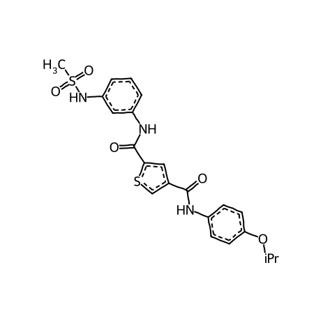 CC(C)Oc1ccc(NC(=O)c2csc(C(=O)Nc3cccc(NS(C)(=O)=O)c3)c2)cc1